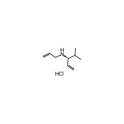 C=CCN[C@H](C=C)C(C)C.Cl